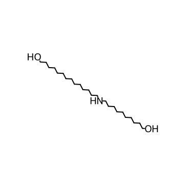 OCCCCCCCCCCCCCCNCCCCCCCCCCO